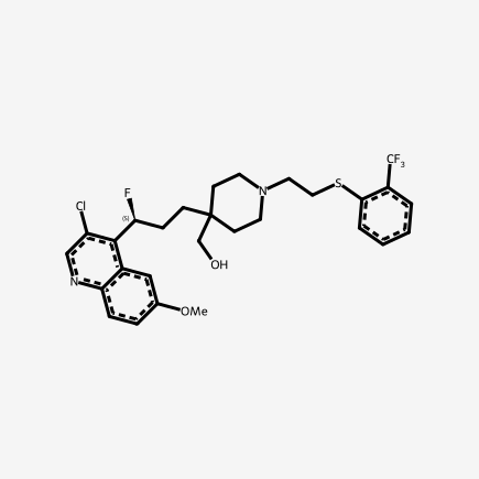 COc1ccc2ncc(Cl)c([C@@H](F)CCC3(CO)CCN(CCSc4ccccc4C(F)(F)F)CC3)c2c1